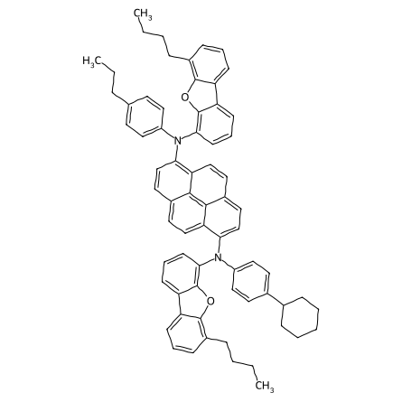 CCCCc1cccc2c1oc1c(N(c3ccc(CCC)cc3)c3ccc4ccc5c(N(c6ccc(C7CCCCC7)cc6)c6cccc7c6oc6c(CCCC)cccc67)ccc6ccc3c4c65)cccc12